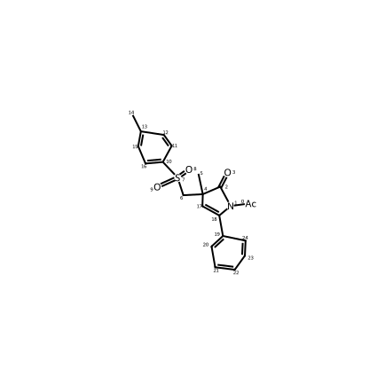 CC(=O)N1C(=O)C(C)(CS(=O)(=O)c2ccc(C)cc2)C=C1c1ccccc1